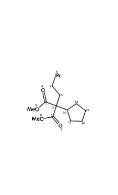 COC(=O)C(CCC(C)C)(C(=O)OC)C1CCCC1